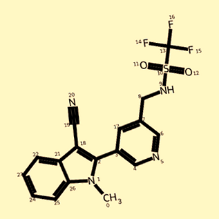 Cn1c(-c2cncc(CNS(=O)(=O)C(F)(F)F)c2)c(C#N)c2ccccc21